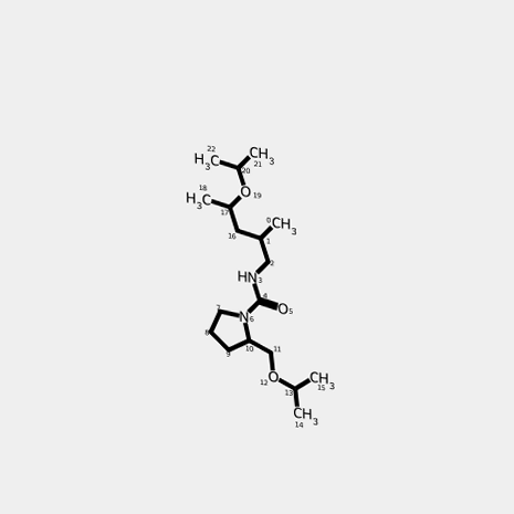 CC(CNC(=O)N1CCCC1COC(C)C)CC(C)OC(C)C